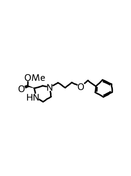 COC(=O)[C@H]1CN(CCCOCc2ccccc2)CCN1